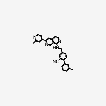 Cc1cccc(-c2ccc(CNc3nccc4cc(-c5ccnc(C)c5)ncc34)cc2C#N)c1